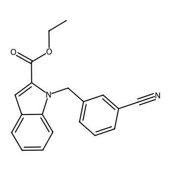 CCOC(=O)c1cc2ccccc2n1Cc1cccc(C#N)c1